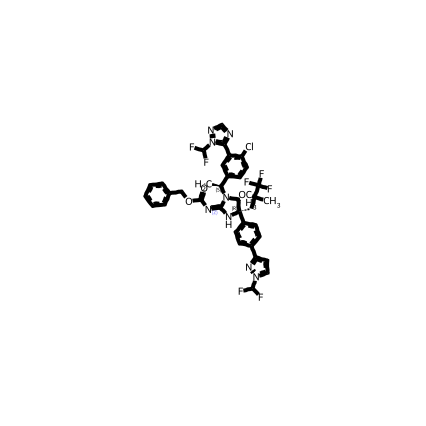 [CH2][C@@H](c1ccc(Cl)c(-c2ncnn2C(F)F)c1)N1C(=O)[C@@](CC(C)(C)C(F)(F)F)(c2ccc(-c3ccn(C(F)F)n3)cc2)N/C1=N/C(=O)OCc1ccccc1